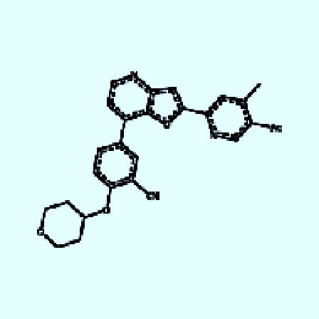 CC(=O)c1cnc(-c2cc3nccc(-c4ccc(OC5CCOCC5)c(C#N)c4)c3o2)cc1C